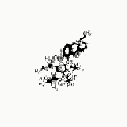 CCCN1CCC[C@@H]2Cc3c(ccc(OC)c3O[C@@H]3O[C@H](C(=O)OCC)[C@@H](OC(=O)C(C)(C)C)[C@H](OC(=O)C(C)(C)C)[C@H]3OC(=O)C(C)(C)C)C[C@H]21